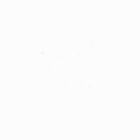 CC(C)(C)C1=C(c2cc3ccccc3cc2C(=O)c2ccccc2)CC=C1